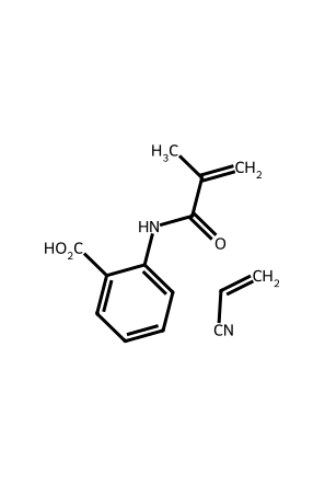 C=C(C)C(=O)Nc1ccccc1C(=O)O.C=CC#N